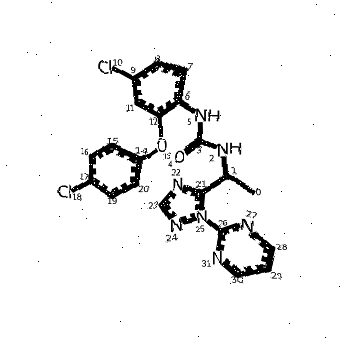 CC(NC(=O)Nc1ccc(Cl)cc1Oc1ccc(Cl)cc1)c1ncnn1-c1ncccn1